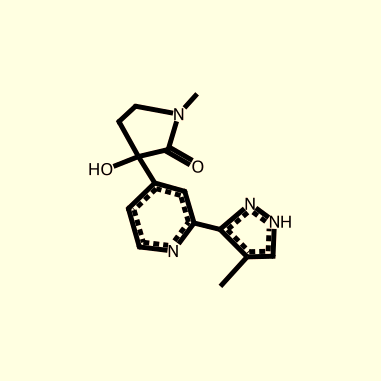 Cc1c[nH]nc1-c1cc(C2(O)CCN(C)C2=O)ccn1